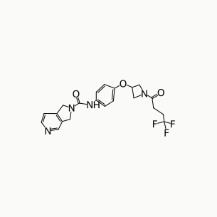 O=C(CCC(F)(F)F)N1CC(Oc2ccc(NC(=O)N3Cc4ccncc4C3)cc2)C1